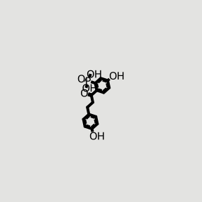 O=C(CCc1ccc(O)cc1)c1ccc(O)cc1P(=O)(O)O